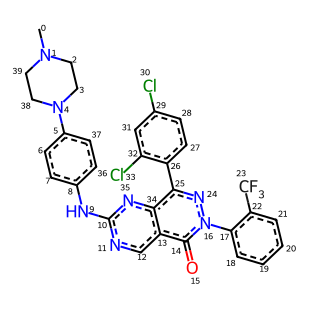 CN1CCN(c2ccc(Nc3ncc4c(=O)n(-c5ccccc5C(F)(F)F)nc(-c5ccc(Cl)cc5Cl)c4n3)cc2)CC1